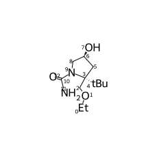 CCOC[C@]1(C(C)(C)C)C[C@H](O)CN1C(N)=O